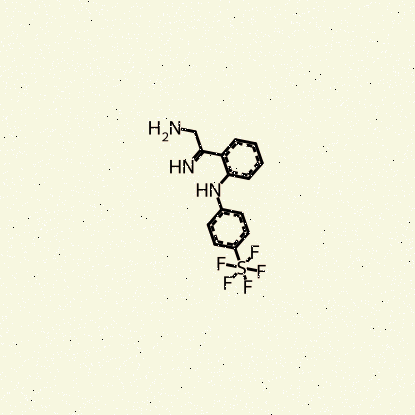 N=C(CN)c1ccccc1Nc1ccc(S(F)(F)(F)(F)F)cc1